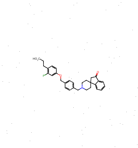 O=C(O)CCc1ccc(OCc2ccc(CN3CCC4(CC3)CC(=O)c3ccccc34)cc2)cc1F